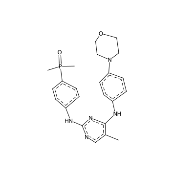 Cc1cnc(Nc2ccc(P(C)(C)=O)cc2)nc1Nc1ccc(N2CCOCC2)cc1